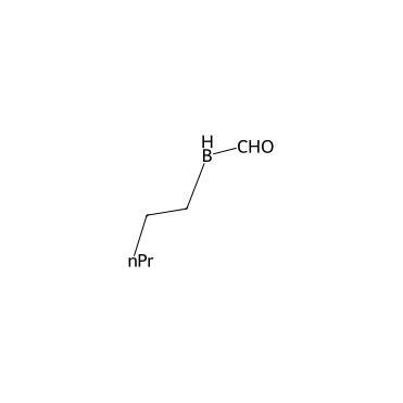 CCCCCBC=O